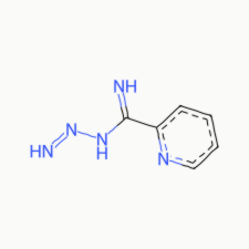 N=NNC(=N)c1ccccn1